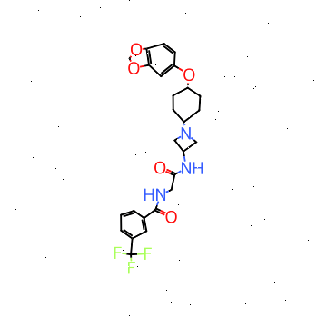 O=C(CNC(=O)c1cccc(C(F)(F)F)c1)NC1CN([C@H]2CC[C@@H](Oc3ccc4c(c3)OCO4)CC2)C1